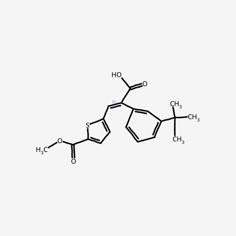 COC(=O)c1ccc(/C=C(/C(=O)O)c2cccc(C(C)(C)C)c2)s1